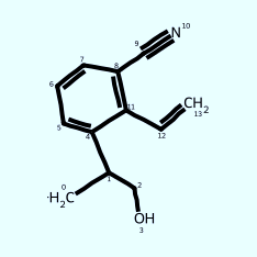 [CH2]C(CO)c1cccc(C#N)c1C=C